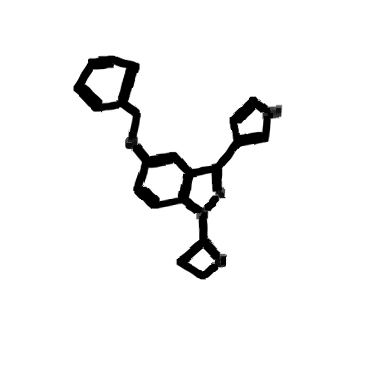 c1ccc(COc2ccc3c(c2)c(-c2cc[nH]c2)nn3C2CCO2)cc1